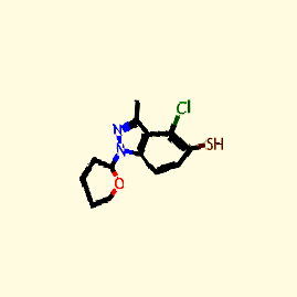 Cc1nn(C2CCCCO2)c2ccc(S)c(Cl)c12